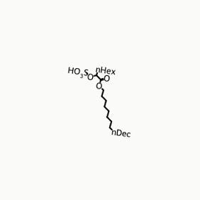 CCCCCCCCCCCCCCCCCCOC(=O)C(CCCCCC)OS(=O)(=O)O